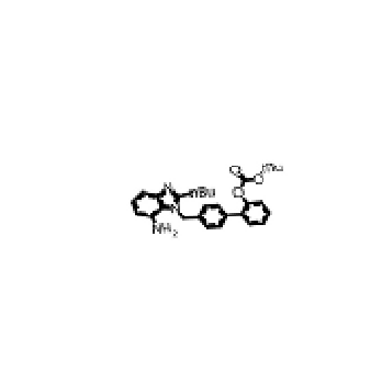 CCCCc1nc2cccc(N)c2n1Cc1ccc(-c2ccccc2OC(=O)OC(C)(C)C)cc1